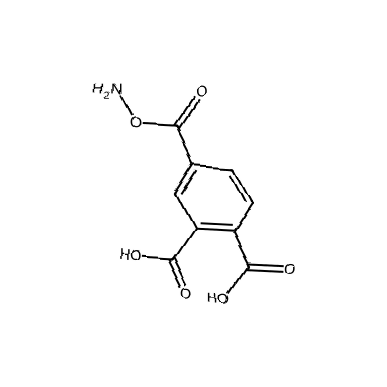 NOC(=O)c1ccc(C(=O)O)c(C(=O)O)c1